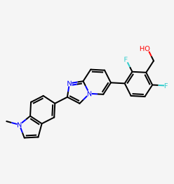 Cn1ccc2cc(-c3cn4cc(-c5ccc(F)c(CO)c5F)ccc4n3)ccc21